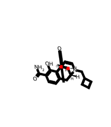 NC(=O)c1ccc2c(c1O)[C@]13C=CN(CC4CCC4)[C@H](C2)[C@@H]1CCC(=O)C3